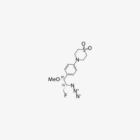 CO[C@H](c1ccc(N2CCS(=O)(=O)CC2)cc1)[C@@H](CF)N=[N+]=[N-]